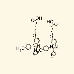 Cc1ccc(-n2c(-c3ccsc3)nc3ccc(OCCCCC(=O)O)cc32)cc1.Cc1ccc(-n2c(-c3ccsc3)nc3ccc(OCCCCCC(=O)O)cc32)cc1